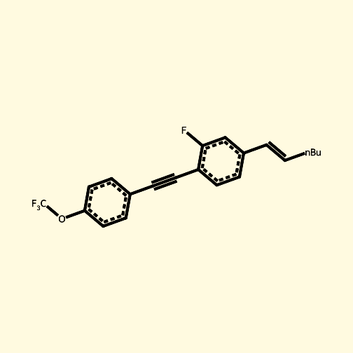 CCCCC=Cc1ccc(C#Cc2ccc(OC(F)(F)F)cc2)c(F)c1